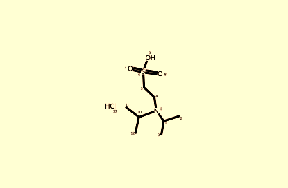 CC(C)N(CCS(=O)(=O)O)C(C)C.Cl